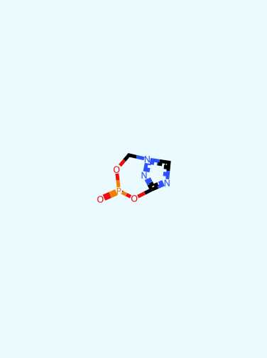 O=[P]1OCn2cnc(n2)O1